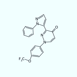 O=c1ccn(-c2ccc(OC(F)(F)F)cc2)nc1-c1ccnn1-c1ccccc1